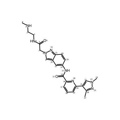 CNCCNC(=O)Cn1cc2cc(NC(=O)c3cccc(-c4cn(C)nc4C)n3)ccc2n1